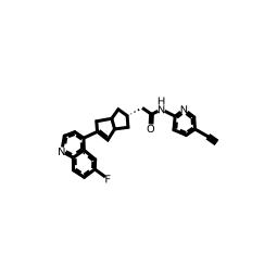 C#Cc1ccc(NC(=O)C[C@@H]2CC3C=C(c4ccnc5ccc(F)cc45)CC3C2)nc1